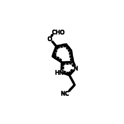 N#CCc1nc2ccc(OC=O)cc2[nH]1